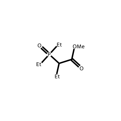 CCC(C(=O)OC)P(=O)(CC)CC